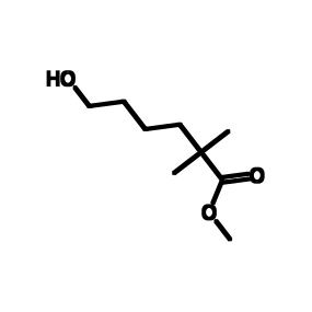 COC(=O)C(C)(C)CCCCO